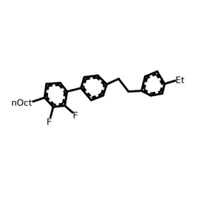 CCCCCCCCc1ccc(-c2ccc(CCc3ccc(CC)cc3)cc2)c(F)c1F